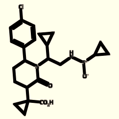 O=C1C(C2(C(=O)O)CC2)CCC(c2ccc(Cl)cc2)N1C(CN[S+]([O-])C1CC1)C1CC1